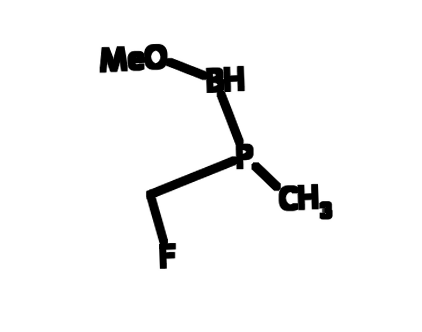 COBP(C)CF